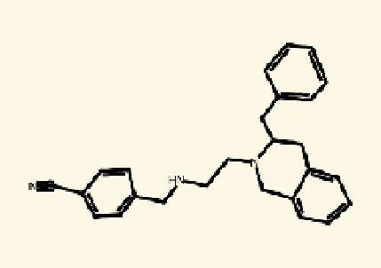 N#Cc1ccc(CNCCN2Cc3ccccc3CC2Cc2ccccc2)cc1